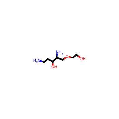 NCCC(O)C(N)COCCO